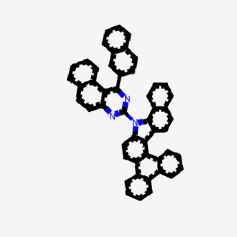 c1ccc2cc(-c3nc(-n4c5ccc6c7ccccc7c7ccccc7c6c5c5ccc6ccccc6c54)nc4ccc5ccccc5c34)ccc2c1